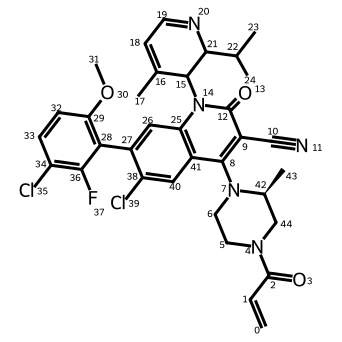 C=CC(=O)N1CCN(c2c(C#N)c(=O)n(C3C(C)=CC=NC3C(C)C)c3cc(-c4c(OC)ccc(Cl)c4F)c(Cl)cc23)[C@@H](C)C1